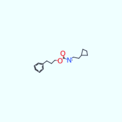 O=C([N]CCC1CCC1)OCCCc1ccccc1